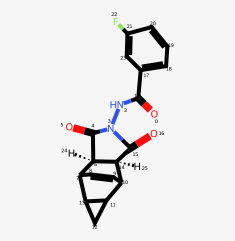 O=C(NN1C(=O)[C@@H]2C3C=CC(C4CC43)[C@@H]2C1=O)c1cccc(F)c1